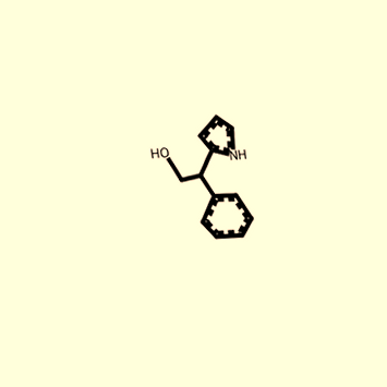 OCC(c1ccccc1)c1ccc[nH]1